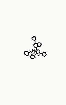 C[Si]1(C)c2ccccc2-c2cccc(-c3nc(-c4ccccc4)nc(-c4ccc(-c5ccccc5)c5ccccc45)n3)c21